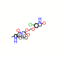 COC(=O)[C@@H](CN(C)C(=O)c1cc(C)[nH]c1C=O)OCCOc1cc2c(cc1Cl)NC(=O)C2